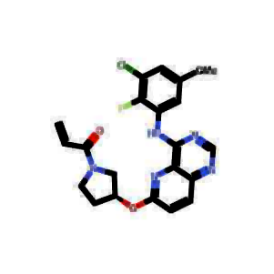 C=CC(=O)N1CC[C@H](Oc2ccc3ncnc(Nc4cc(OC)cc(Cl)c4F)c3n2)C1